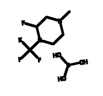 CN1CCN([C](F)(F)[K])C(F)C1.OB(O)O